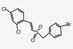 O=S(=O)(/C=C/c1ccc(Cl)cc1Cl)Cc1ccc(Br)cc1